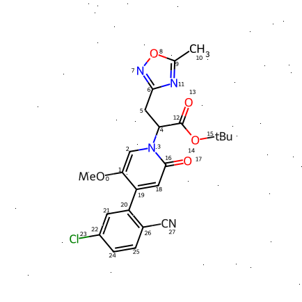 COc1cn(C(Cc2noc(C)n2)C(=O)OC(C)(C)C)c(=O)cc1-c1cc(Cl)ccc1C#N